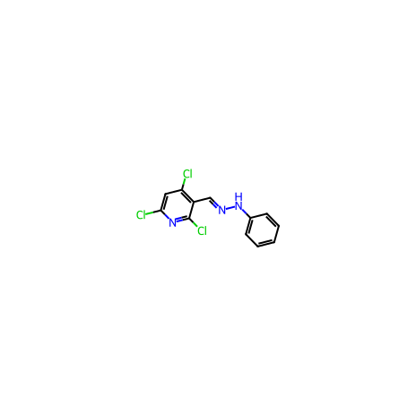 Clc1cc(Cl)c(/C=N/Nc2ccccc2)c(Cl)n1